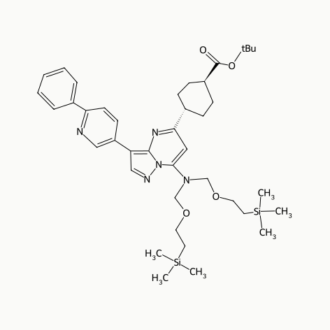 CC(C)(C)OC(=O)[C@H]1CC[C@H](c2cc(N(COCC[Si](C)(C)C)COCC[Si](C)(C)C)n3ncc(-c4ccc(-c5ccccc5)nc4)c3n2)CC1